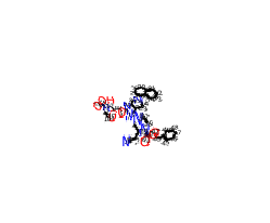 N#CCC1CN(c2nc(OC[C@H]3CN(C(=O)O)CCO3)nc3c2CCN(c2cccc4ccccc24)C3)CCN1C(=O)OCc1ccccc1